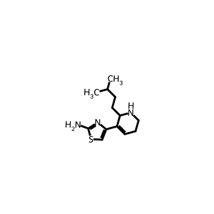 CC(C)CCC1NCCC=C1c1csc(N)n1